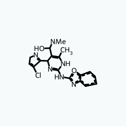 CNC(O)C1=C(C)NC(Nc2nc3ccccc3o2)=NC1C1=NCC=C1Cl